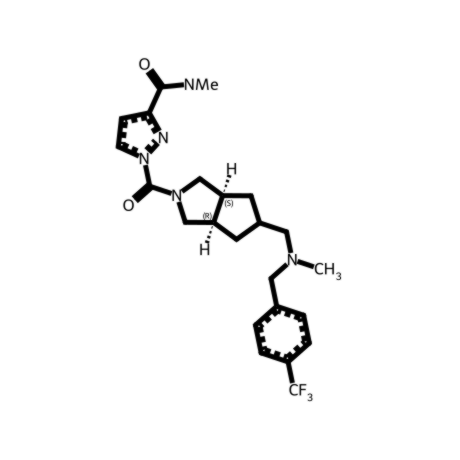 CNC(=O)c1ccn(C(=O)N2C[C@H]3CC(CN(C)Cc4ccc(C(F)(F)F)cc4)C[C@H]3C2)n1